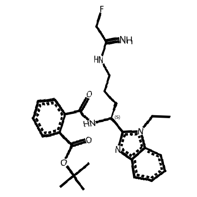 CCn1c([C@H](CCCNC(=N)CF)NC(=O)c2ccccc2C(=O)OC(C)(C)C)nc2ccccc21